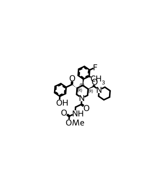 COC(=O)NCC(=O)N1C[C@H](C(=O)c2cccc(O)c2)[C@@H](c2cccc(F)c2C)[C@@H](C(=O)N2CCCCC2)C1